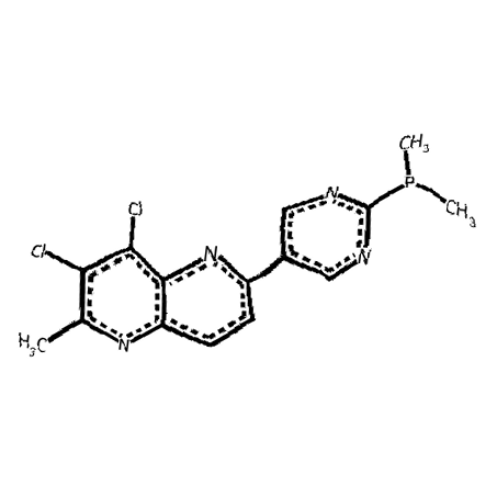 Cc1nc2ccc(-c3cnc(P(C)C)nc3)nc2c(Cl)c1Cl